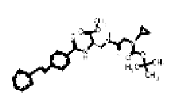 COC(=O)[C@H](CNC(=O)CN(C(=O)OC(C)(C)C)C1CC1)NC(=O)c1ccc(/C=C/c2ccccc2)cc1